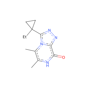 CCC1(c2nnc3c(=O)[nH]c(C)c(C)n23)CC1